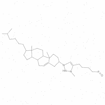 CC(C)CCCCC1CCC2C3CC=C4CC(N5C=C(CCCCP=O)N(C)N5)CCC4(C)C3CCC12C